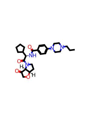 CCCN1CCN(c2ccc(C(=O)N[C@H](C(=O)N3CC[C@H]4OCC(=O)[C@H]43)C3CCCC3)cc2)CC1